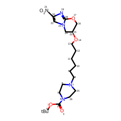 CC(C)(C)OC(=O)N1CCN(CCCCCCO[C@@H]2COc3nc([N+](=O)[O-])cn3C2)CC1